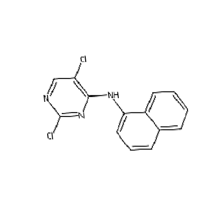 Clc1ncc(Cl)c(Nc2cccc3ccccc23)n1